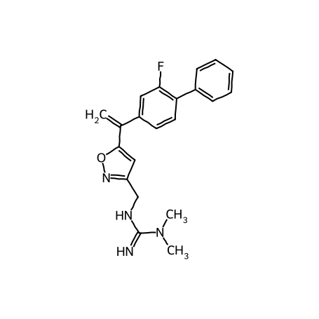 C=C(c1ccc(-c2ccccc2)c(F)c1)c1cc(CNC(=N)N(C)C)no1